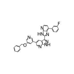 Fc1cccc(-c2ccnc3[nH]c(-c4n[nH]c5ncc(-c6cncc(OCc7ccccc7)c6)cc45)nc23)c1